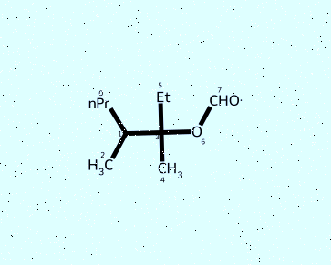 CCCC(C)C(C)(CC)O[C]=O